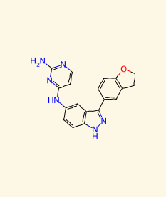 Nc1nccc(Nc2ccc3[nH]nc(-c4ccc5c(c4)CCO5)c3c2)n1